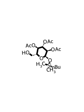 CCCC[Si](C)(C)O[C@H]1O[C@H](CO)[C@@H](OC(C)=O)[C@H](OC(C)=O)[C@H]1OC(C)=O